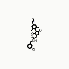 C/C=C/c1cc(C)c(C2C(=O)CC(CC(=O)NCc3cccc(Cl)c3)C2=O)c(C)c1